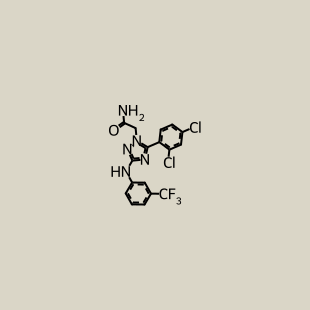 NC(=O)Cn1nc(Nc2cccc(C(F)(F)F)c2)nc1-c1ccc(Cl)cc1Cl